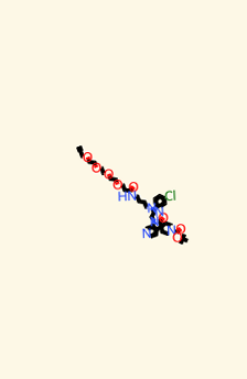 C#CCOCCOCCOCCOCCC(=O)NCCCCn1c(CN2C(=O)C3(CCN(C(=O)OC(C)(C)C)CC3)c3ccncc32)nc2cc(Cl)ccc21